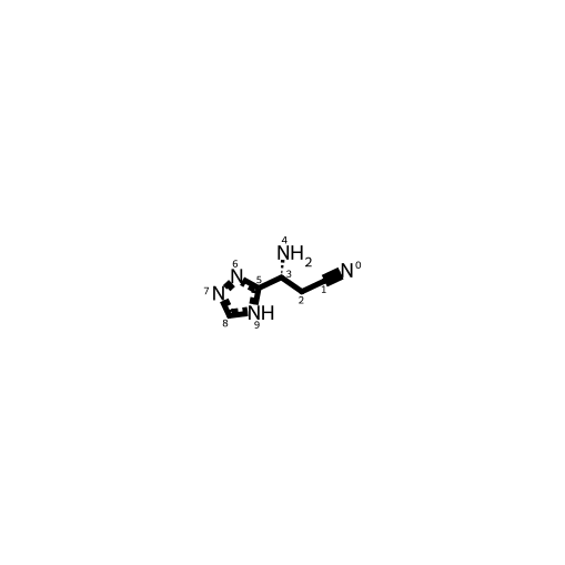 N#CC[C@@H](N)c1nnc[nH]1